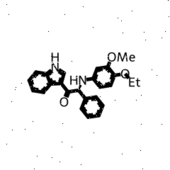 CCOc1ccc(N[C@H](C(=O)c2c[nH]c3ccccc23)c2ccccc2)cc1OC